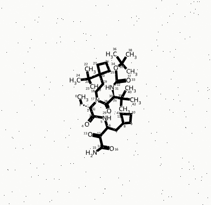 CC[C@@H](C(=O)NC(CC1CCC1)C(=O)C(N)=O)N(CCC1(C(C)(C)C)CCC1)C(=O)[C@@H](NC(=O)OC(C)(C)C)C(C)(C)C